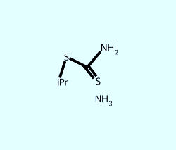 CC(C)SC(N)=S.N